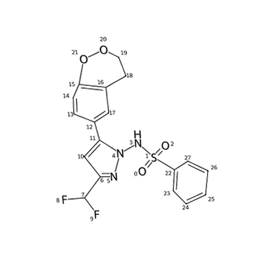 O=S(=O)(Nn1nc(C(F)F)cc1-c1ccc2c(c1)CCOO2)c1ccccc1